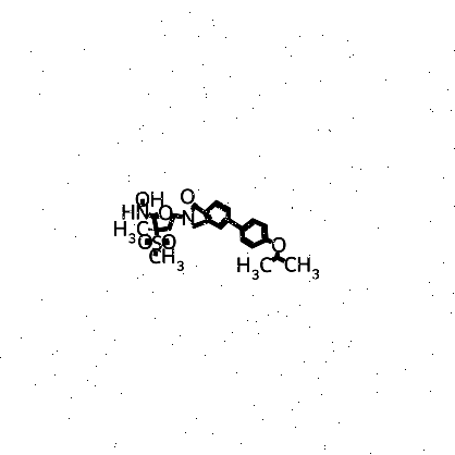 CC(C)Oc1ccc(-c2ccc3c(c2)CN(CC[C@](C)(C(=O)NO)S(C)(=O)=O)C3=O)cc1